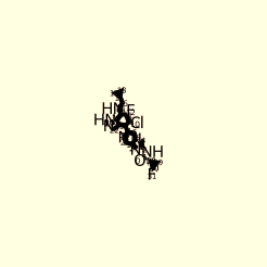 O=C(Nc1cn2cc(-c3c(Cl)c(F)c(NCC4CC4)c4[nH]ncc34)ncc2n1)[C@@H]1C[C@@H]1F